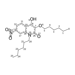 CCCCCCOc1c(O)c2ccc([N+](=O)[O-])cc2n(CCCCCC)c1=O